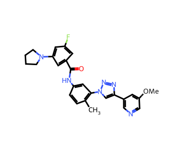 COc1cncc(-c2cn(-c3cc(NC(=O)c4cc(F)cc(N5CCCC5)c4)ccc3C)nn2)c1